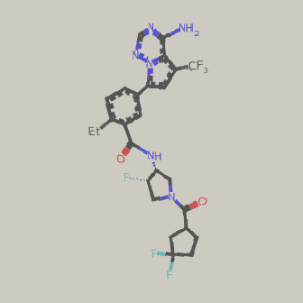 CCc1ccc(-c2cc(C(F)(F)F)c3c(N)ncnn23)cc1C(=O)N[C@@H]1CN(C(=O)C2CCC(F)(F)C2)C[C@@H]1F